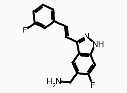 NCc1cc2c(C=Cc3cccc(F)c3)n[nH]c2cc1F